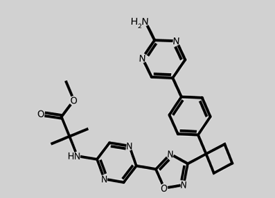 COC(=O)C(C)(C)Nc1cnc(-c2nc(C3(c4ccc(-c5cnc(N)nc5)cc4)CCC3)no2)cn1